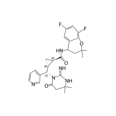 CC1(C)CC(=O)N([C@H](c2cccnc2)[C@@H]2C[C@H]2C(=O)NC2CC(C)(C)Oc3c(F)cc(F)cc32)C(=N)N1